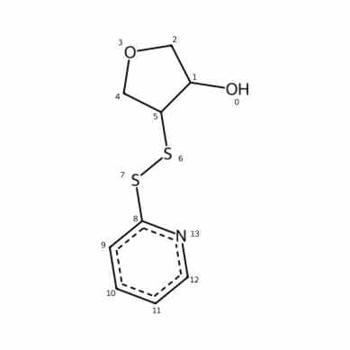 OC1COCC1SSc1ccccn1